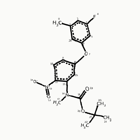 Cc1cc(F)cc(Oc2ccc([N+](=O)[O-])c(N(C)C(=O)OC(C)(C)C)c2)c1